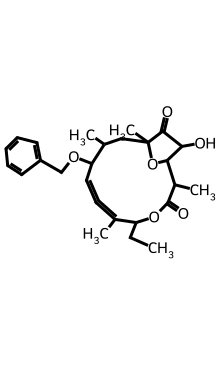 CCC1OC(=O)C(C)C2OC(C)(CC(C)C(OCc3ccccc3)C=C=C1C)C(=O)C2O